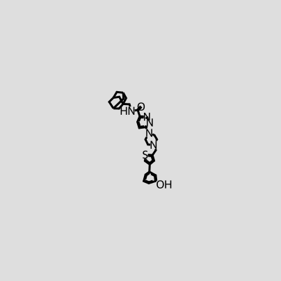 O=C(NCC12CC3CC(CC(C3)C1)C2)c1ccc(N2CCN(Cc3cc(-c4cccc(O)c4)cs3)CC2)nn1